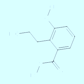 CCCc1c(OC)cccc1C(=O)SC